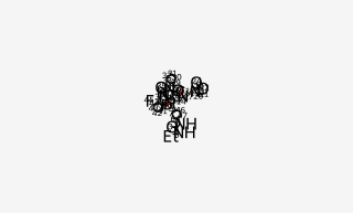 CCNC(=O)Nc1ccc(-c2sc3c(c2CN(C)CCN2CCOC2=O)c(=O)n(-c2ccccc2)c(=O)n3Cc2c(F)cccc2F)cc1